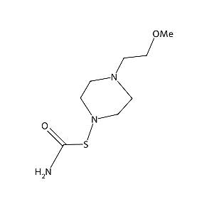 COCCN1CCN(SC(N)=O)CC1